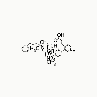 CCc1cc(-c2cc(F)ccc2CCC(=O)O)ccc1S(=O)(=O)N(C)CC(O)CNC(C)(C)CC1Cc2ccccc2C1